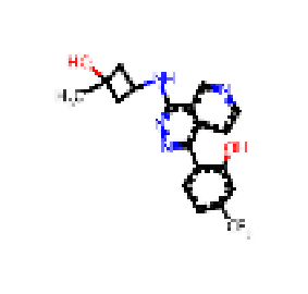 CC1(O)CC(Nc2nnc(-c3ccc(C(F)(F)F)cc3O)c3ccncc23)C1